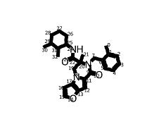 Cc1ccccc1CN1C(=O)c2cc3occc3n2CC1(C)C(=O)NC1CCCC(C)C1C